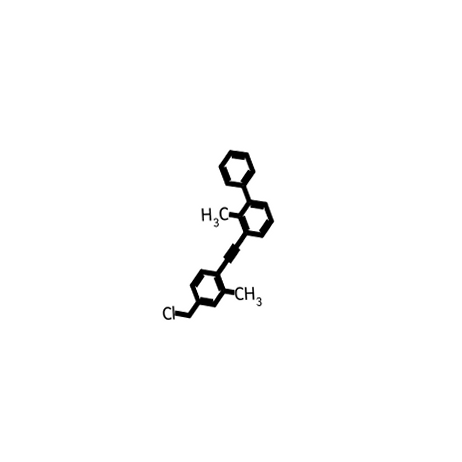 Cc1cc(CCl)ccc1C#Cc1cccc(-c2ccccc2)c1C